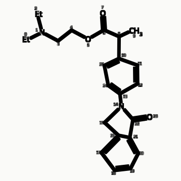 CCN(CC)CCOC(=O)C(C)c1ccc(N2Cc3ccccc3C2=O)cc1